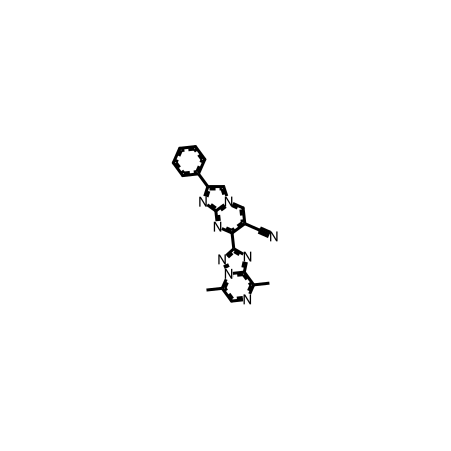 Cc1ncc(C)n2nc(-c3nc4nc(-c5ccccc5)cn4cc3C#N)nc12